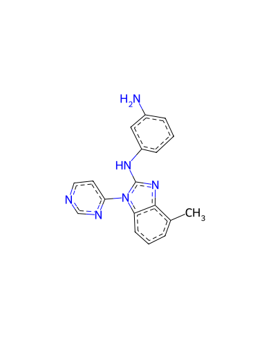 Cc1cccc2c1nc(Nc1cccc(N)c1)n2-c1ccncn1